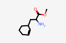 COC(=O)C(N)CC1C=CCCC1